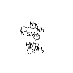 CSc1ncccc1-c1cc(Nc2ccc(C(=O)N[C@@H]3CCCC[C@H]3N)cc2)ncn1